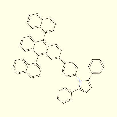 c1ccc(-c2ccc(-c3ccccc3)n2-c2ccc(-c3ccc4c(-c5cccc6ccccc56)c5ccccc5c(-c5cccc6ccccc56)c4c3)cc2)cc1